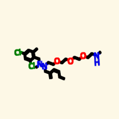 C=C(/C=C\CC)CN(CCOCCOCCOCCNC)N(C)Cc1c(C)cc(Cl)cc1Cl